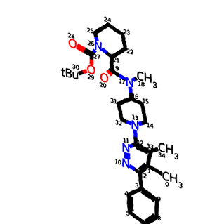 Cc1c(-c2ccc(F)cc2)nnc(N2CCC(N(C)C(=O)C3CCCCN3C(=O)OC(C)(C)C)CC2)c1C